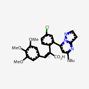 CCCCc1cc(-c2cc(Cl)ccc2/C(=C\c2cc(OC)c(OC)c(OC)c2)C(=O)O)n2nccc2n1